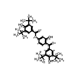 CC(C)(C)c1cc(C(=O)Oc2ccc(C(=O)c3cc(C(C)(C)C)c(O)c(C(C)(C)C)c3)c(O)c2)cc(C(C)(C)C)c1O